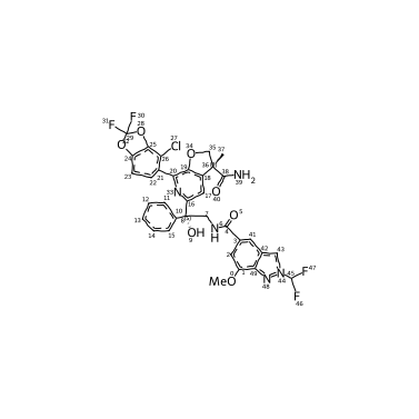 COc1cc(C(=O)NC[C@@](O)(c2ccccc2)c2cc3c(c(-c4ccc5c(c4Cl)OC(F)(F)O5)n2)OC[C@]3(C)C(N)=O)cc2cn(C(F)F)nc12